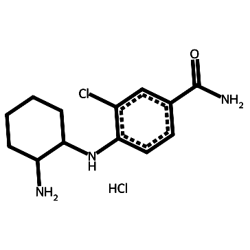 Cl.NC(=O)c1ccc(NC2CCCCC2N)c(Cl)c1